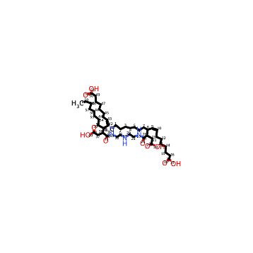 CCCCCCCCC(/C=C\CCCCCCC(=O)O)C(CC(=O)O)C(=O)NCCNCCNC(=O)C(CC(=O)O)C(/C=C\CCCCCCC(=O)O)CCCCCCCC